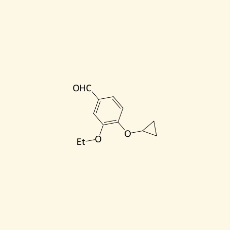 CCOc1cc(C=O)ccc1OC1CC1